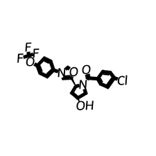 O=C(c1ccc(Cl)cc1)N1C[C@H](O)C[C@H]1C1=CN(c2ccc(OC(F)(F)F)cc2)CO1